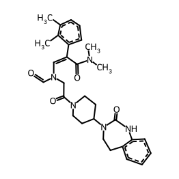 Cc1cccc(/C(=C/N(C=O)CC(=O)N2CCC(N3CCc4ccccc4NC3=O)CC2)C(=O)N(C)C)c1C